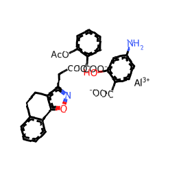 CC(=O)Oc1ccccc1C(=O)[O-].Nc1ccc(C(=O)[O-])c(O)c1.O=C([O-])Cc1noc2c1CCc1ccccc1-2.[Al+3]